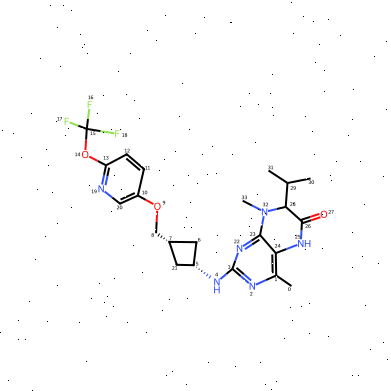 Cc1nc(N[C@H]2C[C@@H](COc3ccc(OC(F)(F)F)nc3)C2)nc2c1NC(=O)C(C(C)C)N2C